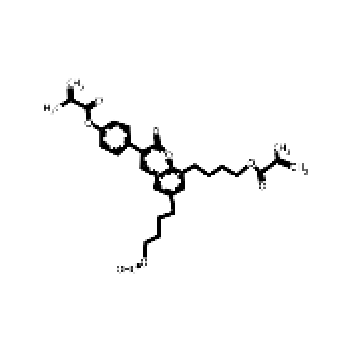 C=C(C)C(=O)OCCCCc1cc(CCCCOC=O)cc2cc(-c3ccc(OC(=O)C(=C)C)cc3)c(=O)oc12